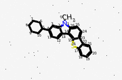 Cn1c2cc(C3CCCCC3)ccc2c2c3sc4ccccc4c3ccc21